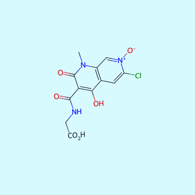 Cn1c(=O)c(C(=O)NCC(=O)O)c(O)c2cc(Cl)[n+]([O-])cc21